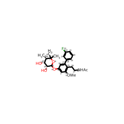 COc1cc(OC2OC(C)(C)[C@H](C)[C@@H](O)[C@H]2O)cc(-c2cccc(F)c2)c1CCNC(C)=O